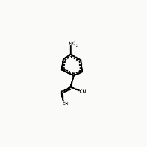 N#C/C=C(\C#N)c1ccc([N+](=O)[O-])cc1